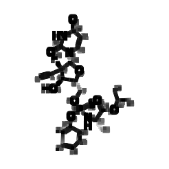 C#C[C@@]1(F)[C@H](O)[C@@H](COP(=S)(N[C@@H](C)C(=O)OC(C)C)Oc2ccccc2)O[C@H]1n1ccc(=O)[nH]c1=O